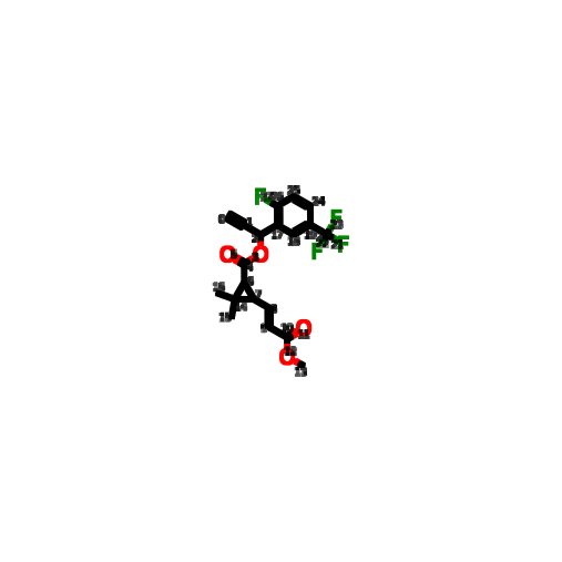 C#CC(OC(=O)C1C(C=CC(=O)OC)C1(C)C)c1cc(C(F)(F)F)ccc1F